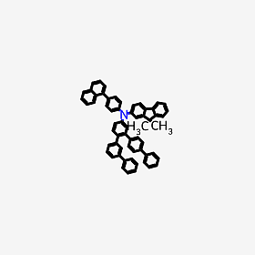 CC1(C)c2ccccc2-c2ccc(N(c3ccc(-c4cccc5ccccc45)cc3)c3ccc(-c4cccc(-c5ccccc5)c4)c(-c4ccc(-c5ccccc5)cc4)c3)cc21